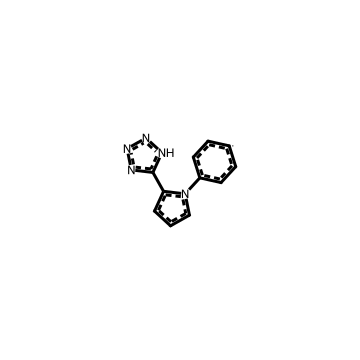 [c]1ccc(-n2cccc2-c2nnn[nH]2)cc1